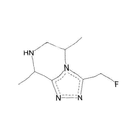 CC1NCC(C)n2c(CF)nnc21